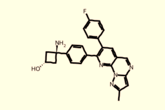 Cc1cc2ncc3cc(-c4ccc(F)cc4)c(-c4ccc([C@]5(N)C[C@H](O)C5)cc4)nc3n2n1